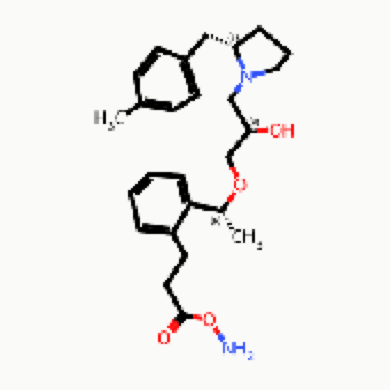 Cc1ccc(C[C@@H]2CCCN2C[C@@H](O)CO[C@H](C)c2ccccc2CCC(=O)ON)cc1